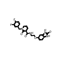 O=C(NCCOc1ccc2[nH]c(=O)[nH]c2c1)c1cccn(Cc2ccc(F)c(F)c2)c1=O